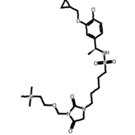 C[C@H](NS(=O)(=O)CCCCCN1CC(=O)N(COCC[Si](C)(C)C)C1=O)c1ccc(Cl)c(OCC2CC2)c1